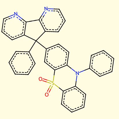 O=S1(=O)c2ccccc2N(c2ccccc2)c2ccc(C3(c4ccccc4)c4cccnc4-c4ncccc43)cc21